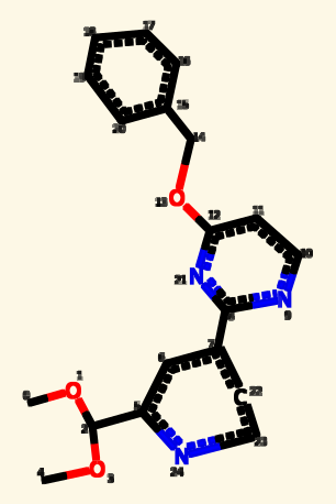 COC(OC)c1cc(-c2nccc(OCc3ccccc3)n2)ccn1